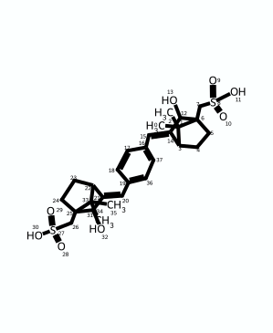 CC1(C)C2CCC1(CS(=O)(=O)O)C(O)/C2=C/c1ccc(/C=C2\C3CCC(CS(=O)(=O)O)(C2O)C3(C)C)cc1